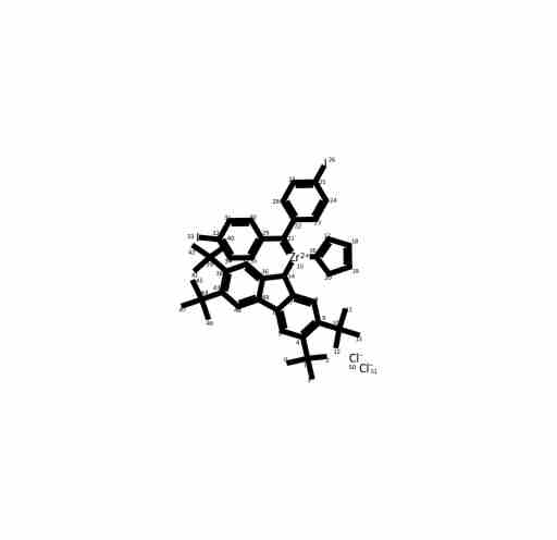 CC(C)(C)c1cc2c(cc1C(C)(C)C)[CH]([Zr+2]([C]1=CC=CC1)=[C](c1ccc(I)cc1)c1ccc(I)cc1)c1cc(C(C)(C)C)c(C(C)(C)C)cc1-2.[Cl-].[Cl-]